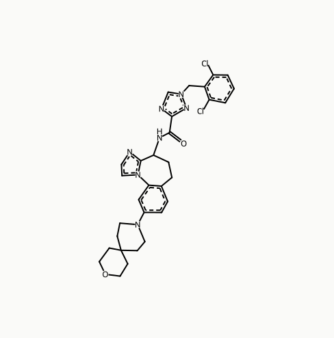 O=C(NC1CCc2ccc(N3CCC4(CCOCC4)CC3)cc2-n2ccnc21)c1ncn(Cc2c(Cl)cccc2Cl)n1